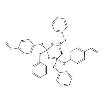 C=Cc1ccc(OP2(Oc3ccccc3)=N[PH](Oc3ccccc3)=NP(Oc3ccccc3)(Oc3ccc(C=C)cc3)=N2)cc1